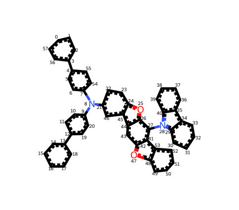 c1ccc(-c2ccc(N(c3ccc(-c4ccccc4)cc3)c3ccc4oc5c(-n6c7ccccc7c7ccccc76)c6c(cc5c4c3)oc3ccccc36)cc2)cc1